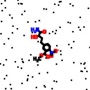 COC(=O)c1cc(CCC(O)C(N)=O)ccc1[N+](=O)[O-]